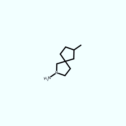 CC1CCC2(CCN(N)C2)C1